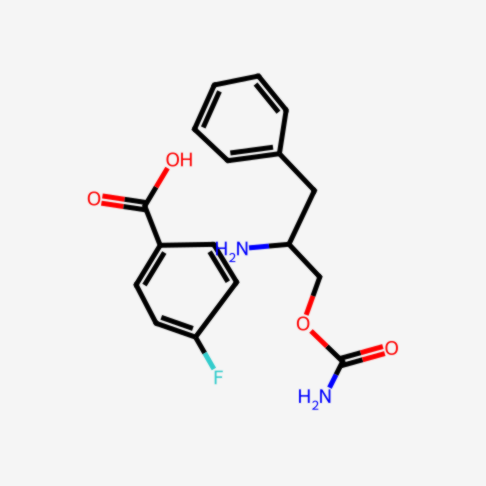 NC(=O)OCC(N)Cc1ccccc1.O=C(O)c1ccc(F)cc1